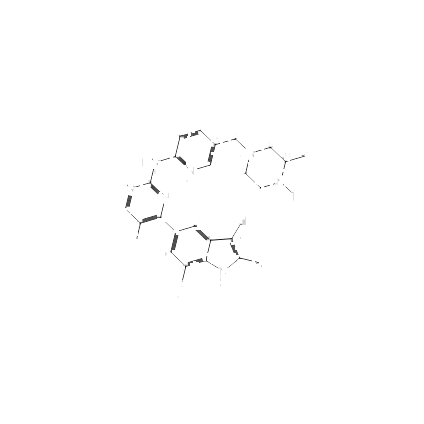 CCN1CCN(Cc2ccc(Nc3ncc(F)c(-c4cc(F)c5[nH]c(C)c(C(C)C)c5c4)n3)nc2)CC1C